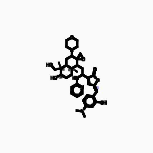 CN(C)c1ccc(/C=C2\C=C(C(CC3C4(CO4)C(N4CCOCC4)CC4[C@]3(C)CC[C@@H](O)[C@@]4(C)CO)Nc3ccccn3)C(=O)O2)c(O)c1